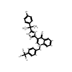 CC(C)(c1ccc(F)cc1)c1nc(-c2cn(Cc3ccc(C(F)(F)F)cc3)c3ccccc3c2=O)no1